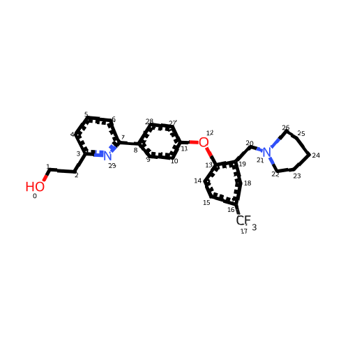 OCCc1cccc(-c2ccc(Oc3ccc(C(F)(F)F)cc3CN3CCCCC3)cc2)n1